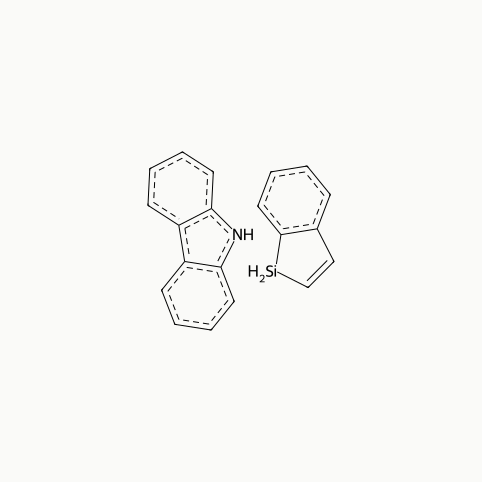 C1=Cc2ccccc2[SiH2]1.c1ccc2c(c1)[nH]c1ccccc12